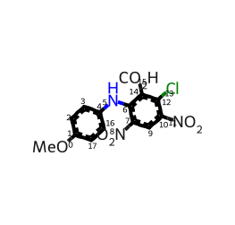 COc1ccc(Nc2c([N+](=O)[O-])cc([N+](=O)[O-])c(Cl)c2C(=O)O)cc1